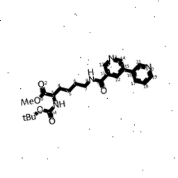 COC(=O)C(CCCCNC(=O)c1cncc(-c2cccnc2)c1)NC(=O)OC(C)(C)C